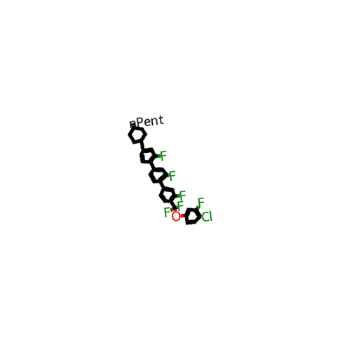 CCCCCC1CCC(c2ccc(-c3ccc(-c4ccc(C(F)(F)Oc5ccc(Cl)c(F)c5)c(F)c4)c(F)c3)c(F)c2)CC1